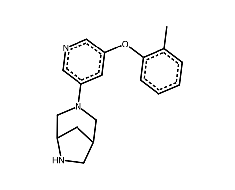 Cc1ccccc1Oc1cncc(N2CC3CNC(C3)C2)c1